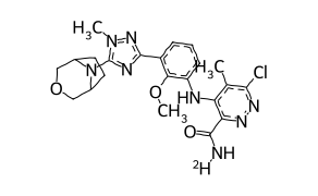 [2H]NC(=O)c1nnc(Cl)c(C)c1Nc1cccc(-c2nc(N3C4CCC3COC4)n(C)n2)c1OC